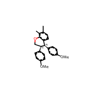 COc1ccc([C@@H]2c3ccc(C)c(C)c3OC[C@@H]2c2ccc(OC)cc2)cc1